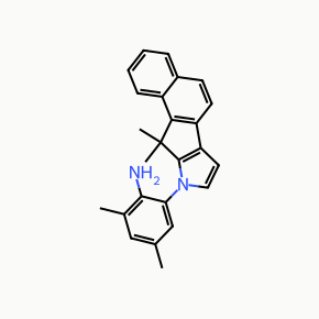 Cc1cc(C)c(N)c(-n2ccc3c2C(C)(C)c2c-3ccc3ccccc23)c1